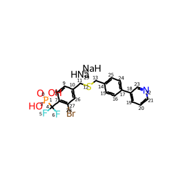 O=P(O)(O)C(F)(F)c1ccc(CSCc2ccc(-c3cccnc3)cc2)cc1Br.[NaH].[NaH]